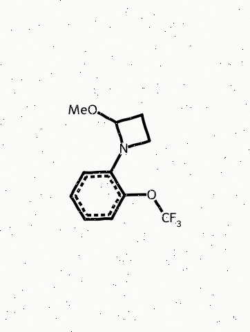 COC1CCN1c1ccccc1OC(F)(F)F